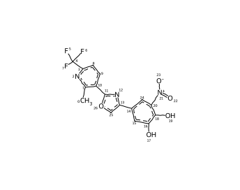 Cc1nc(C(F)(F)F)ccc1-c1nc(-c2cc(O)c(O)c([N+](=O)[O-])c2)co1